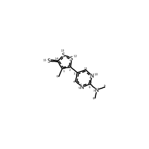 Cc1c(-c2cnc(N(C)C)nc2)ssc1=S